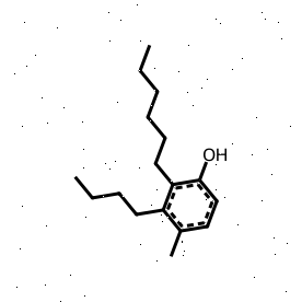 CCCCCCc1c(O)ccc(C)c1CCCC